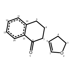 C1=COCC1.O=C1CCCc2ccccc21